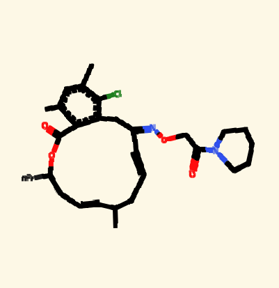 CCCC1C/C=C/C(C)C/C=C/C(=N\OCC(=O)N2CCCCC2)Cc2c(Cl)c(C)cc(C)c2C(=O)O1